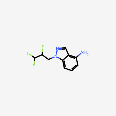 Nc1cccc2c1cnn2CC(F)C(F)F